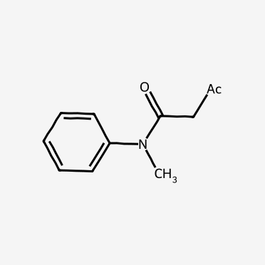 CC(=O)CC(=O)N(C)c1ccccc1